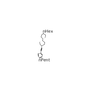 CCCCCC[C@H]1CC[C@H]([C@H]2CC[C@H](C#Cc3ccc(CCCCC)cc3)CC2)CC1